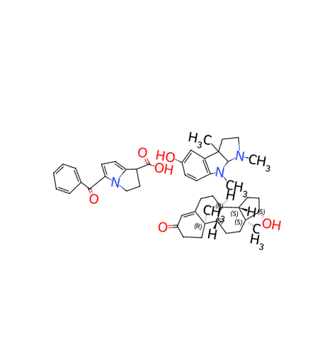 CN1CCC2(C)c3cc(O)ccc3N(C)C12.C[C@]12CC[C@H]3[C@@H](CCC4=CC(=O)CC[C@@]43C)[C@@H]1CC[C@@H]2O.O=C(c1ccccc1)c1ccc2n1CCC2C(=O)O